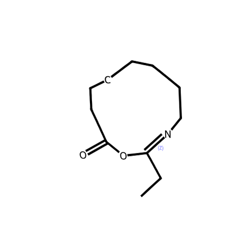 CC/C1=N/CCCCCCCC(=O)O1